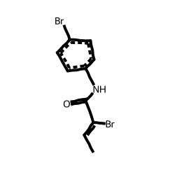 CC=C(Br)C(=O)Nc1ccc(Br)cc1